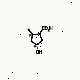 C[C@@H]1C[C@@H](O)CN1C(=O)O